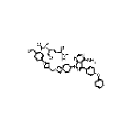 CNC(=O)CCC(C=O)N(C)C(=O)c1cc(N2CC(CN3CC4(CCC(n5nc(-c6ccc(Oc7ccccc7)cc6)c6c(N)ncnc65)CC4)C3)C2)ccc1C=O